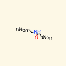 CCCCCCCCCCCNC(=O)CCCCCCCCCC